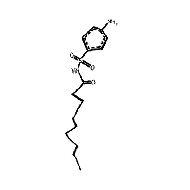 CCCCCCCCC(=O)NS(=O)(=O)c1ccc(N)cc1